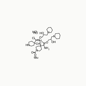 CC(C)(C)OC(=O)N1CCC(C)(C(N)=NOCC(O)CN2CCCCC2)CC1.CC1(C(Cl)=NOCC(O)CN2CCCCC2)CCNCC1.Cl.Cl